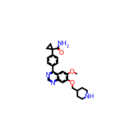 COc1cc2c(-c3ccc(C4(C(N)=O)CC4)cc3)ncnc2cc1OCC1CCNCC1